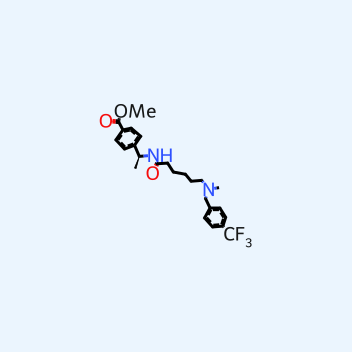 COC(=O)c1ccc([C@H](C)NC(=O)CCCCCN(C)Cc2ccc(C(F)(F)F)cc2)cc1